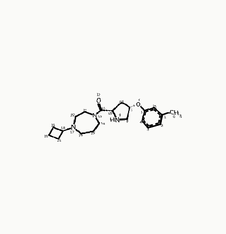 Cc1cccc(O[C@@H]2CN[C@@H](C(=O)N3CCCN(C4CCC4)CC3)C2)c1